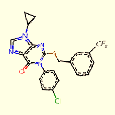 O=c1c2ncn(C3CC3)c2nc(SCc2cccc(C(F)(F)F)c2)n1-c1ccc(Cl)cc1